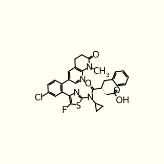 CN1C(=O)CCc2cc(-c3ccc(Cl)cc3-c3nc(N(C(=O)[C@@H](CC(=O)O)Cc4ccccc4)C4CC4)sc3F)cnc21